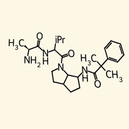 CC(C)C(NC(=O)[C@H](C)N)C(=O)N1CCC2CCC(NC(=O)C(C)(C)c3ccccc3)C21